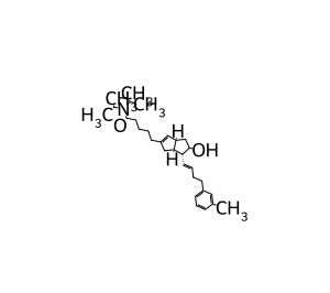 Cc1cccc(CC/C=C/[C@@H]2[C@H]3CC(CCCCC(=O)N(C(C)C)C(C)C)=C[C@H]3C[C@H]2O)c1